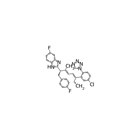 C=C/C(=C\C=C(/C)[C@@H](Cc1ccc(F)cc1)c1nc2cc(F)ccc2[nH]1)c1cc(Cl)ccc1-n1cnnn1